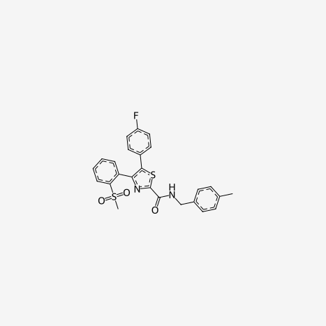 Cc1ccc(CNC(=O)c2nc(-c3ccccc3S(C)(=O)=O)c(-c3ccc(F)cc3)s2)cc1